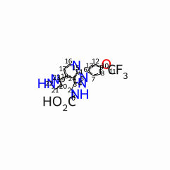 O=C(O)NCc1nn(-c2ccc(OC(F)(F)F)cc2)c2nccc(-c3cc[nH]n3)c12